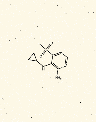 CS(=O)(=O)c1cccc(N)c1NC1CC1